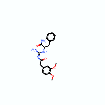 COc1ccc(CC(=O)N=C(N)NC(Cc2ccccc2)C(N)=O)cc1OC